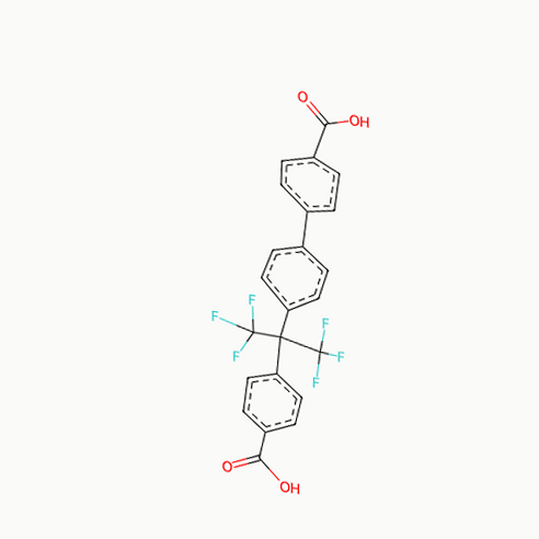 O=C(O)c1ccc(-c2ccc(C(c3ccc(C(=O)O)cc3)(C(F)(F)F)C(F)(F)F)cc2)cc1